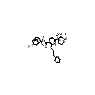 O=C(O)C[C@@]1(c2ccc(C(=O)N[C@H]3C4CC5CC3C[C@@](O)(C5)C4)c(SCCc3ccccc3)n2)CCCNC1